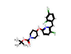 CC(C)(C)OC(=O)N1CCC(Oc2ccc(Br)c(Cc3ccc(Cl)cc3F)n2)CC1